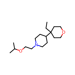 CCC1(C2CCN(CCOC(C)C)CC2)CCOCC1